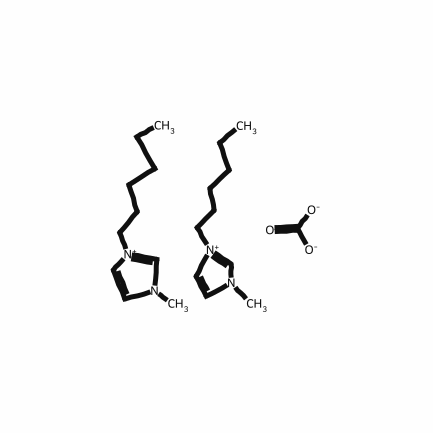 CCCCCC[n+]1ccn(C)c1.CCCCCC[n+]1ccn(C)c1.O=C([O-])[O-]